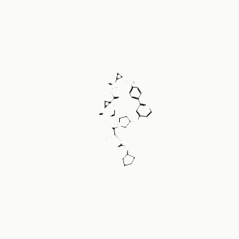 C=C[C@@H]1C[C@]1(NC(=O)[C@@H]1C[C@@H](Oc2ccnc(-c3ccc(OC)cc3)c2)CN1C(=O)[C@@H](NC(=O)OC1CCCC1)C(C)(C)C)C(=O)NS(=O)(=O)C1CC1